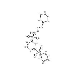 O=S(=O)(NCCCN1CCOCC1)c1cccc(S(=O)(=O)c2ccccc2)c1